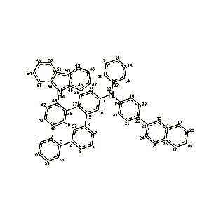 c1ccc(-c2cccc(-c3cc(N(c4ccccc4)c4ccc(-c5ccc6ccccc6c5)cc4)ccc3-c3ccccc3-n3c4ccccc4c4ccccc43)c2)cc1